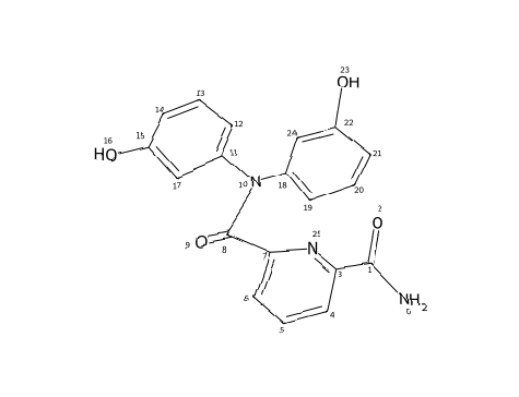 NC(=O)c1cccc(C(=O)N(c2cccc(O)c2)c2cccc(O)c2)n1